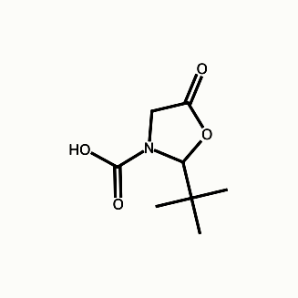 CC(C)(C)C1OC(=O)CN1C(=O)O